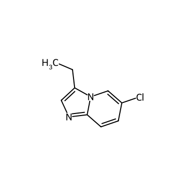 CCc1cnc2ccc(Cl)cn12